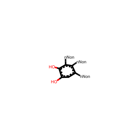 CCCCCCCCCc1cc(O)c(O)c(CCCCCCCCC)c1CCCCCCCCC